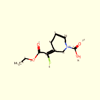 CCOC(=O)C(F)=C1CCCN(C(=O)O)C1